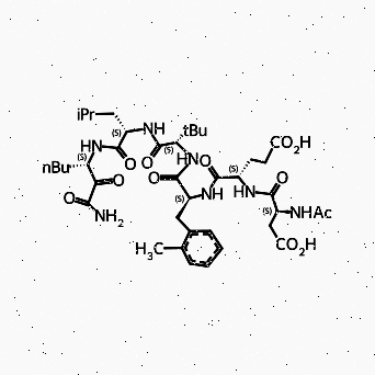 CCCC[C@H](NC(=O)[C@H](CC(C)C)NC(=O)[C@@H](NC(=O)[C@H](Cc1ccccc1C)NC(=O)[C@H](CCC(=O)O)NC(=O)[C@H](CC(=O)O)NC(C)=O)C(C)(C)C)C(=O)C(N)=O